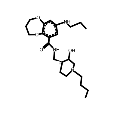 CCCCN1CC[C@@H](CNC(=O)c2cc(NCCC)cc3c2OCCCO3)C(O)C1